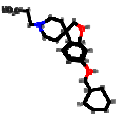 O=C(O)CCN1CCC2(CC1)COc1cc(OCC3CCCCC3)ccc12